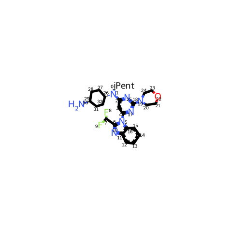 CCCC(C)N(c1cc(-n2c(C(F)F)nc3ccccc32)nc(N2CCOCC2)n1)[C@H]1CC[C@H](N)CC1